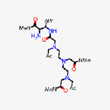 CCCC(NC(=O)CN(CCN(CCN(CC(C)=O)CC(=O)NC)CC(=O)NC)CC(C)=O)C(N)C(=O)NC